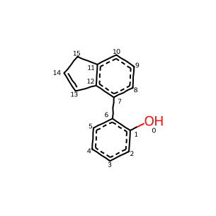 Oc1ccccc1-c1cccc2c1C=CC2